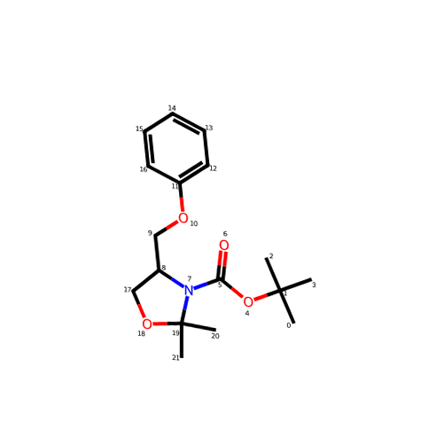 CC(C)(C)OC(=O)N1C(COc2ccccc2)COC1(C)C